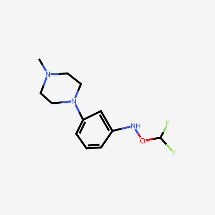 CN1CCN(c2cccc(NOC(F)F)c2)CC1